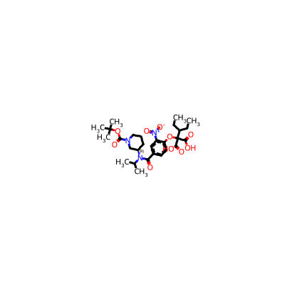 CCC(CC)C(Oc1ccc(C(=O)N(C(C)C)[C@@H]2CCCN(C(=O)OC(C)(C)C)C2)cc1[N+](=O)[O-])(C(=O)O)C(=O)O